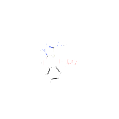 CNc1nnc([B]c2ccccc2)s1.O.O